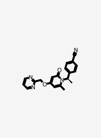 Cc1cc(OCc2ncccn2)cc(=O)n1[C@H](C)c1ccc(C#N)cc1